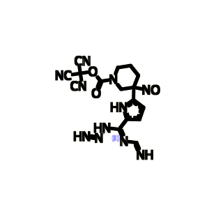 N#CC(C#N)(C#N)OC(=O)N1CCCC(N=O)(c2ccc(/C(=N\C=N)NN=N)[nH]2)C1